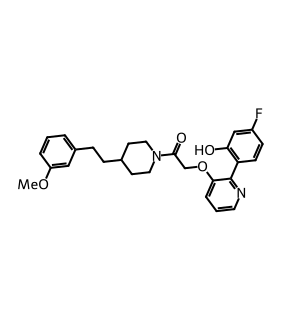 COc1cccc(CCC2CCN(C(=O)COc3cccnc3-c3ccc(F)cc3O)CC2)c1